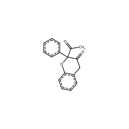 CC(=O)C1(c2ccccc2)Oc2ccccc2CC1=O